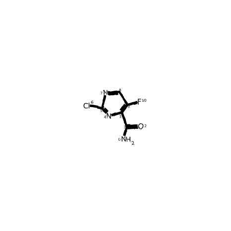 NC(=O)c1nc(Cl)ncc1F